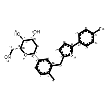 Cc1ccc([C@H]2C[C@@H](O)[C@H](O)[C@@H](CN=O)O2)cc1Cc1ccc(-c2ccc(F)cc2)s1